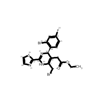 CCOC(=O)CC1=C(CBr)NC(c2nccs2)=N[C@H]1c1ccc(F)cc1Br